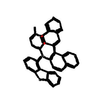 Cc1ccc(N(c2ccc3ccccc3c2-c2ccc3ccccc3c2)c2cccc3sc4ccccc4c23)cc1